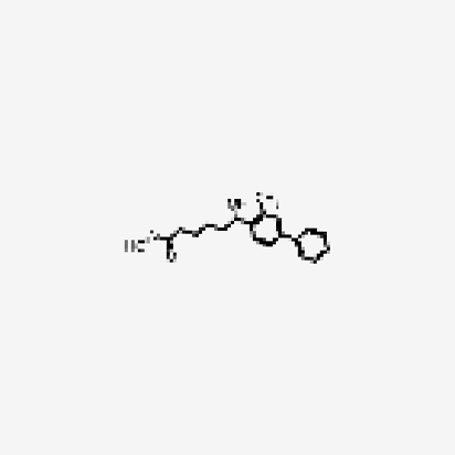 Cc1cc(-c2ccccc2)ccc1[C@H](O)CCCCC(=O)NO